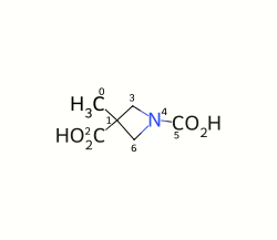 CC1(C(=O)O)CN(C(=O)O)C1